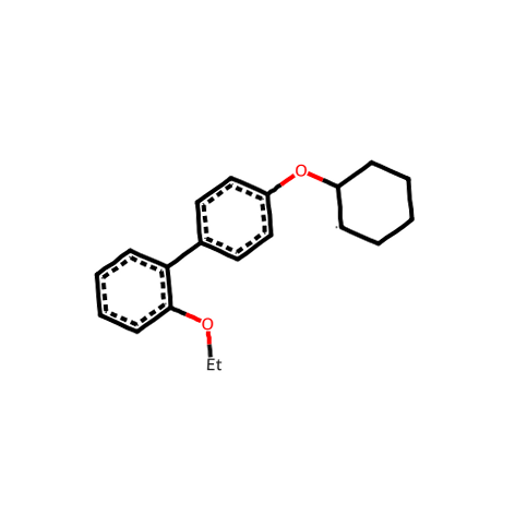 CCOc1ccccc1-c1ccc(OC2[CH]CCCC2)cc1